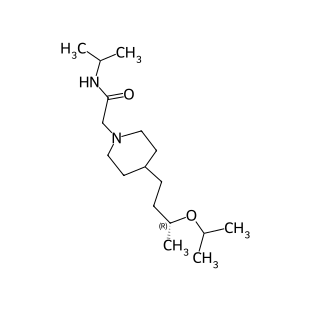 CC(C)NC(=O)CN1CCC(CC[C@@H](C)OC(C)C)CC1